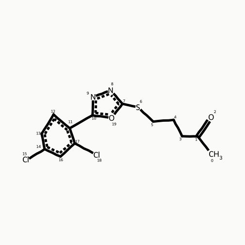 CC(=O)CCCSc1nnc(-c2ccc(Cl)cc2Cl)o1